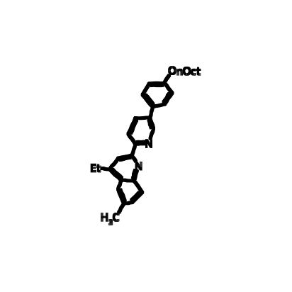 CCCCCCCCOc1ccc(-c2ccc(-c3cc(CC)c4cc(C)ccc4n3)nc2)cc1